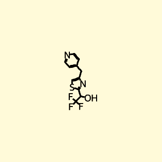 OC(c1nc(Cc2ccncc2)cs1)C(F)(F)F